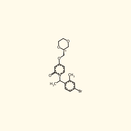 Cc1cc(Br)ccc1C(C)n1ccc(OC[C@@H]2COCCO2)cc1=O